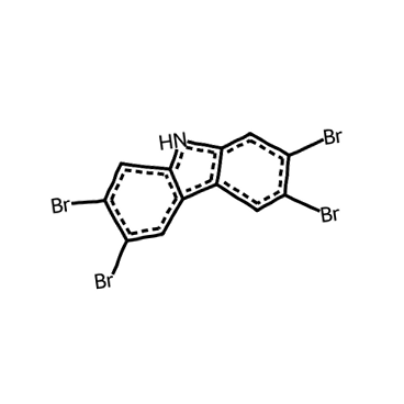 Brc1cc2[nH]c3cc(Br)c(Br)cc3c2cc1Br